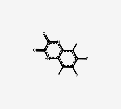 O=c1[nH]c2c(F)c(F)c(F)c(I)c2[nH]c1=O